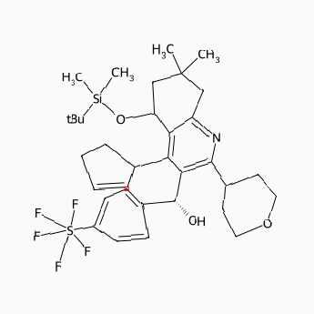 CC1(C)Cc2nc(C3CCOCC3)c([C@H](O)c3ccc(S(F)(F)(F)(F)F)cc3)c(C3C=CCC3)c2C(O[Si](C)(C)C(C)(C)C)C1